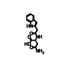 NC(=O)C[C@H](NC(=O)Cc1cc2ccccc2[nH]1)C(=O)O